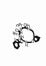 CCC[C@@H]1NC(=O)[C@@H](C(C)C)NC(=O)[C@@H](Cc2csc3ccccc23)NCCOc2ccccc2CCCNC1=O